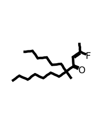 CCCCCCCC(C)(CCCCCC)C(=O)/C=C(/C)F